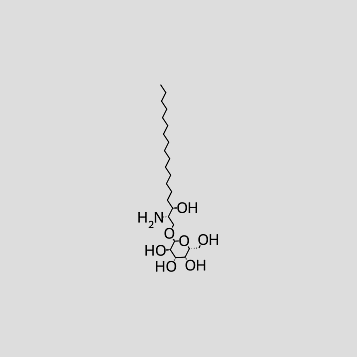 CCCCCCCCCCCCCCC[C@@H](O)[C@@H](N)CO[C@H]1O[C@H](CO)[C@H](O)[C@H](O)[C@H]1O